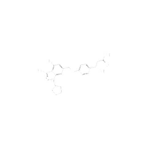 C[C@@H](CC(=O)O)c1ccc(OCc2cc(F)c3c(Br)nn(C4CCCC4)c3c2)cc1